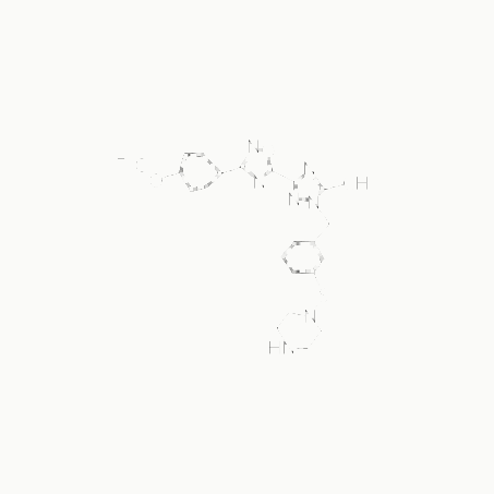 Cc1nc(-c2nc(-c3ccc(OC(F)(F)F)cc3)no2)nn1Cc1cccc(SN2CCNCC2)c1